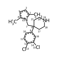 Cc1ccc(C)n1CC1(c2ccc(Cl)c(Cl)c2)CCNCC1